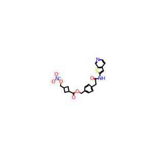 O=C(Cc1ccc(COC(=O)C2CC(CO[N+](=O)[O-])C2)cc1)Nc1cc2ccncc2s1